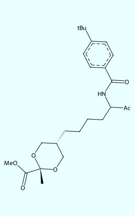 COC(=O)[C@]1(C)OC[C@H](CCCCC(NC(=O)c2ccc(C(C)(C)C)cc2)C(C)=O)CO1